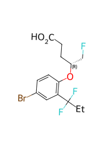 CCC(F)(F)c1cc(Br)ccc1O[C@@H](CF)CCC(=O)O